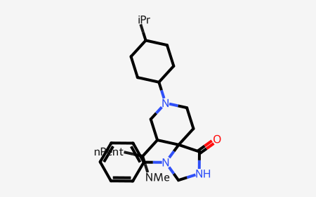 CCCCCC(NC)C1CN(C2CCC(C(C)C)CC2)CCC12C(=O)NCN2c1ccccc1